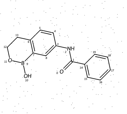 O=C(Nc1ccc2c(c1)B(O)OCC2)c1ccccc1